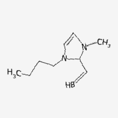 B=CC1N(C)C=CN1CCCC